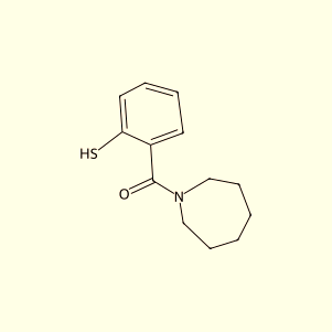 O=C(c1ccccc1S)N1CCCCCC1